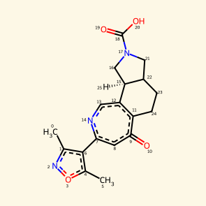 Cc1noc(C)c1-c1cc(=O)c2c(cn1)[C@H]1CN(C(=O)O)CC1CC2